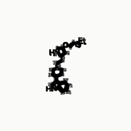 CCOCCO[C@H]1CN[C@H](CCN2CCC(c3c[nH]c4ccccc34)CC2)C1